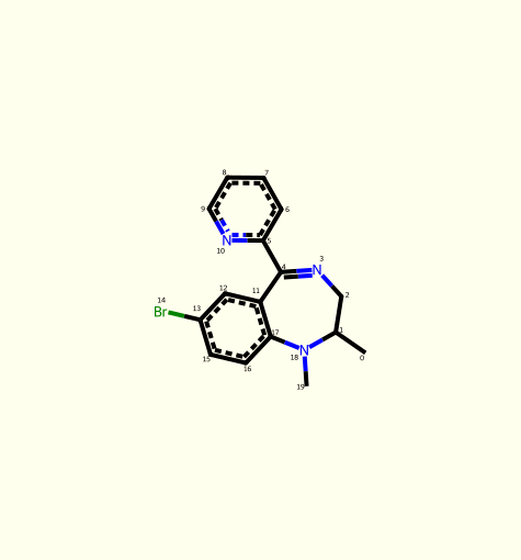 CC1CN=C(c2ccccn2)c2cc(Br)ccc2N1C